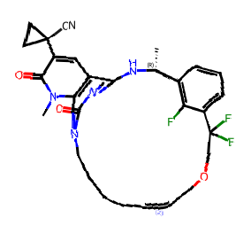 C[C@H]1Nc2nc(=O)n(c3c2cc(C2(C#N)CC2)c(=O)n3C)CCCC/C=C\COCC(F)(F)c2cccc1c2F